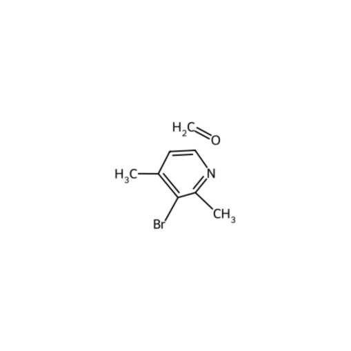 C=O.Cc1ccnc(C)c1Br